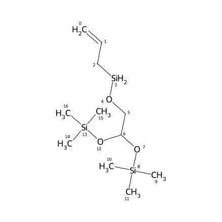 C=CC[SiH2]OCC(O[Si](C)(C)C)O[Si](C)(C)C